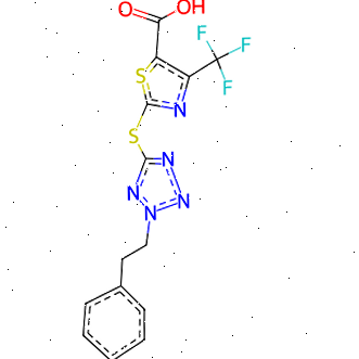 O=C(O)c1sc(Sc2nnn(CCc3ccccc3)n2)nc1C(F)(F)F